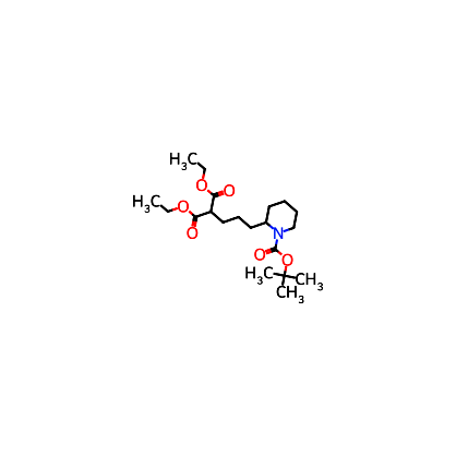 CCOC(=O)C(CCCC1CCCCN1C(=O)OC(C)(C)C)C(=O)OCC